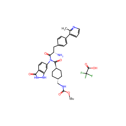 Cc1ncccc1-c1ccc(C[C@H](N)C(=O)N(c2ccc3c(=O)[nH][nH]c3c2)C(=O)[C@H]2CC[C@H](CNC(=O)OC(C)(C)C)CC2)cc1.O=C(O)C(F)(F)F